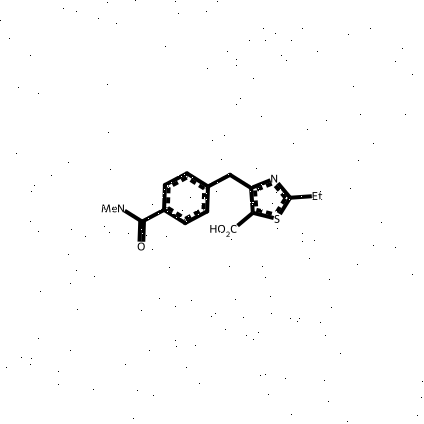 CCc1nc(Cc2ccc(C(=O)NC)cc2)c(C(=O)O)s1